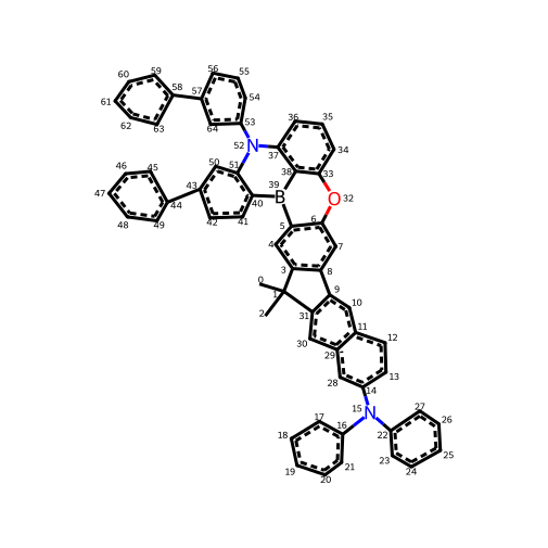 CC1(C)c2cc3c(cc2-c2cc4ccc(N(c5ccccc5)c5ccccc5)cc4cc21)Oc1cccc2c1B3c1ccc(-c3ccccc3)cc1N2c1cccc(-c2ccccc2)c1